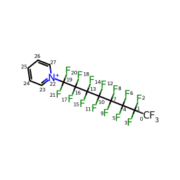 FC(F)(F)C(F)(F)C(F)(F)C(F)(F)C(F)(F)C(F)(F)C(F)(F)C(F)(F)[n+]1ccccc1